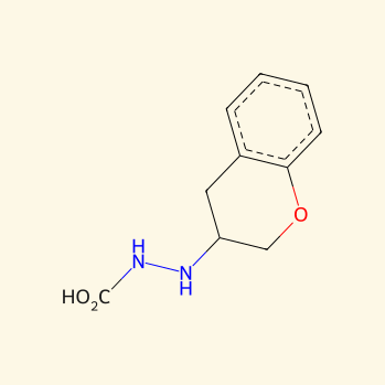 O=C(O)NNC1COc2ccccc2C1